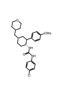 COc1ccc(C2CN(CC3CCOCC3)CC[C@H]2NC(=O)Nc2ccc(Cl)cc2)cc1